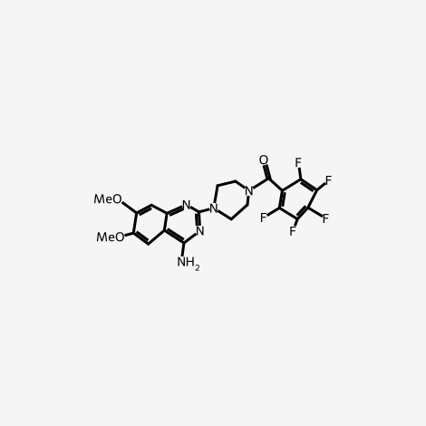 COc1cc2nc(N3CCN(C(=O)c4c(F)c(F)c(F)c(F)c4F)CC3)nc(N)c2cc1OC